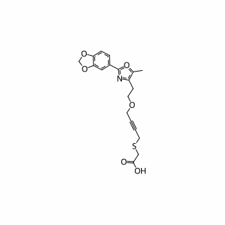 Cc1oc(-c2ccc3c(c2)OCO3)nc1CCOCC#CCSCC(=O)O